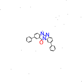 Cn1c2ccc(-c3ccccc3)cc2c(=O)n2c3cc(-c4ccccc4)ccc3nc12